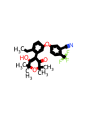 CCc1ccc(Oc2ccc(C(F)(F)F)c(C#N)c2)cc1C1=C(O)C(C)(C)OC(C)(C)C1=O